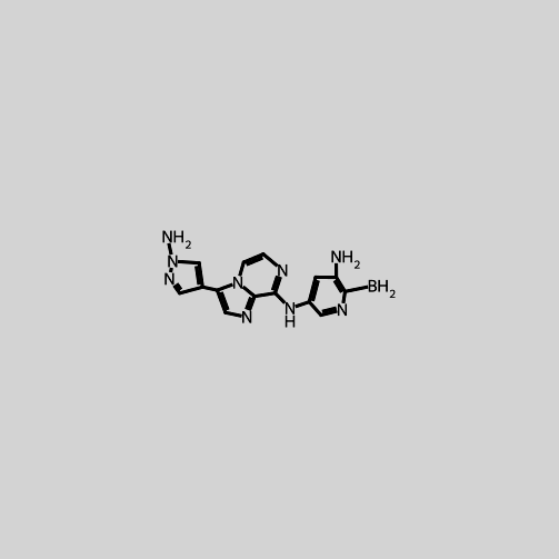 Bc1ncc(Nc2nccn3c(-c4cnn(N)c4)cnc23)cc1N